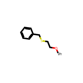 CC(C)OCCSCc1ccccc1